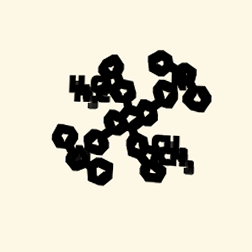 CC1(C)c2ccccc2-c2ccc(-c3c4ccc(-c5ccc(-n6c(-c7ccccc7)ccc6-c6ccccc6)cc5)cc4c(-c4ccc5c(c4)C(C)(C)c4ccccc4-5)c4ccc(-c5ccc(-n6c(-c7ccccc7)ccc6-c6ccccc6)cc5)cc34)cc21